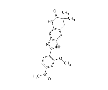 COc1cc([S+](C)[O-])ccc1-c1nc2cc3c(cc2[nH]1)CC(C)(C)C(=O)N3